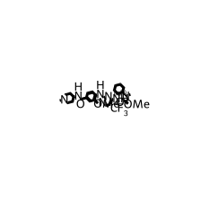 COC(=O)N(C)[C@@H]1CCCC[C@H]1Nc1nc(Nc2ccc(C(=O)NC3CCN(C)CC3)cc2OC)ncc1C(F)(F)F